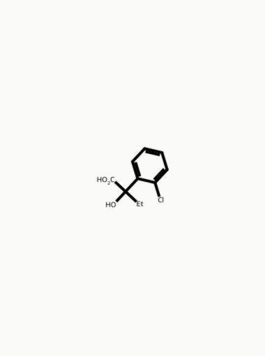 CCC(O)(C(=O)O)c1ccccc1Cl